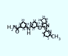 Cc1cccc(-n2nc3c(c2Oc2ccnc(Nc4cccc(C(N)=O)c4)c2)CCC3)n1